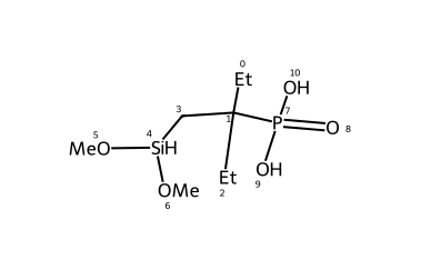 CCC(CC)(C[SiH](OC)OC)P(=O)(O)O